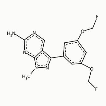 Cn1nc(-c2cc(OCF)cc(OCF)c2)c2cnc(N)nc21